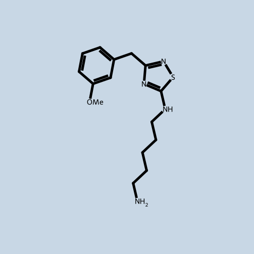 COc1cccc(Cc2nsc(NCCCCCN)n2)c1